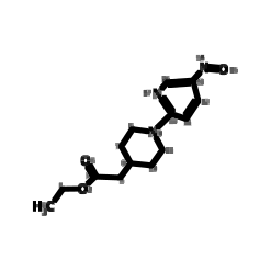 CCOC(=O)CC1CCN(c2ccc(N=O)cn2)CC1